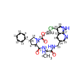 C[C@H](NC(=O)[C@H]1C[C@H](c2ccccc2)CN1C(=O)OC(C)(C)C)C(=O)NCc1cnc2[nH]cc(Cl)c2c1